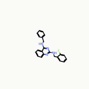 Fc1ccccc1CNc1nc(NCc2ccccc2)c2ccccc2n1